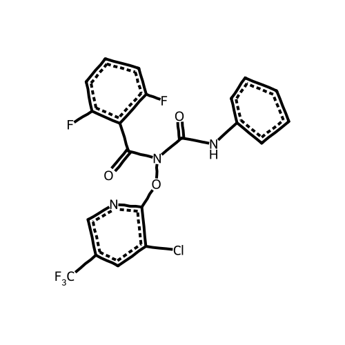 O=C(Nc1ccccc1)N(Oc1ncc(C(F)(F)F)cc1Cl)C(=O)c1c(F)cccc1F